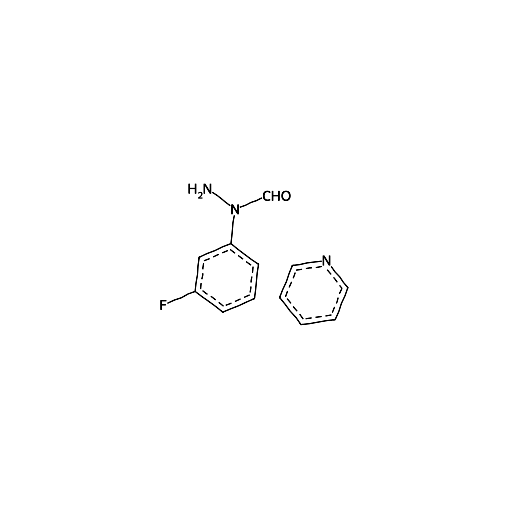 NN(C=O)c1cccc(F)c1.c1ccncc1